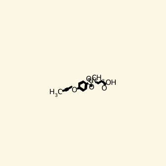 CC#CCOc1ccc(S(=O)(=O)N(C)CCC(=O)O)cc1